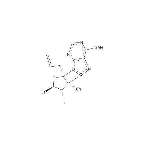 C=CC[C@@]1(c2cnc3c(SC)ncnn23)O[C@H](CC)[C@@H](C)[C@@]1(C)C#N